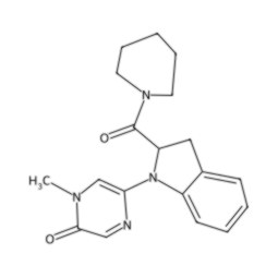 Cn1cc(N2c3ccccc3CC2C(=O)N2CCCCC2)ncc1=O